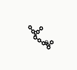 c1ccc(-c2ccc3c(c2)c2cc(-c4ccccc4)ccc2n3-c2cccc(-c3ccc(-c4ccc5c(c4)oc4c5c5ccccc5n4-c4ccccc4)cc3)c2)cc1